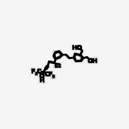 CC/C(=C\C#CC(O)(C(F)(F)F)C(F)(F)F)c1cccc(CCc2ccc(CO)c(CO)c2)c1